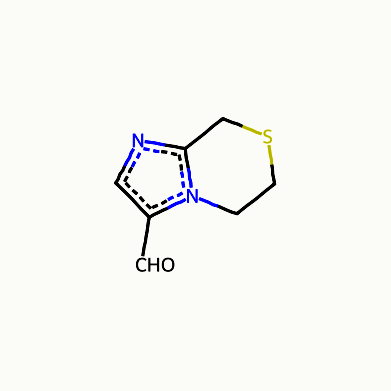 O=Cc1cnc2n1CCSC2